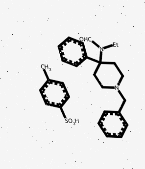 CCN(C=O)C1(c2ccccc2)CCN(Cc2ccccc2)CC1.Cc1ccc(S(=O)(=O)O)cc1